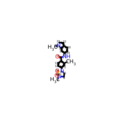 Cc1cc(N2CCN(C)S2(=O)=O)ccc1C(=O)Nc1ccc2ccn(C)c2c1